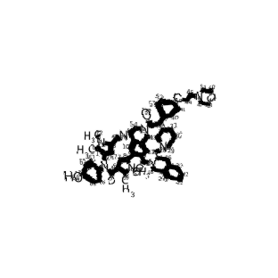 Cc1c(N(C(=O)c2cc(-c3cc4c(cc3C(=O)N3Cc5ccccc5C[C@H]3CN3CCCCC3)CN(C(=O)Cc3ccc(OCCN5CCOCC5)cc3)CC4)n(C)c2C)c2ccc(O)cc2)cc(C#N)n1C